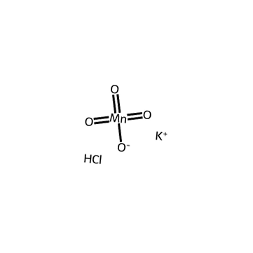 Cl.[K+].[O]=[Mn](=[O])(=[O])[O-]